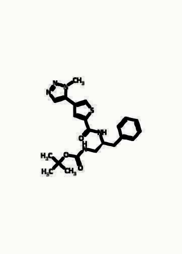 Cn1nncc1-c1csc(C(=O)N[C@H](CNC(=O)OC(C)(C)C)Cc2ccccc2)c1